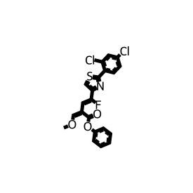 COC=C(C=C(F)c1csc(-c2ccc(Cl)cc2Cl)n1)C(=O)Oc1ccccc1